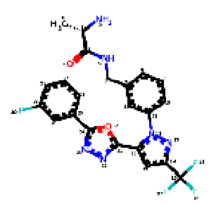 C[C@H](N)C(=O)NCc1cccc(-n2nc(C(F)(F)F)cc2-c2nnc(-c3cccc(F)c3)o2)c1